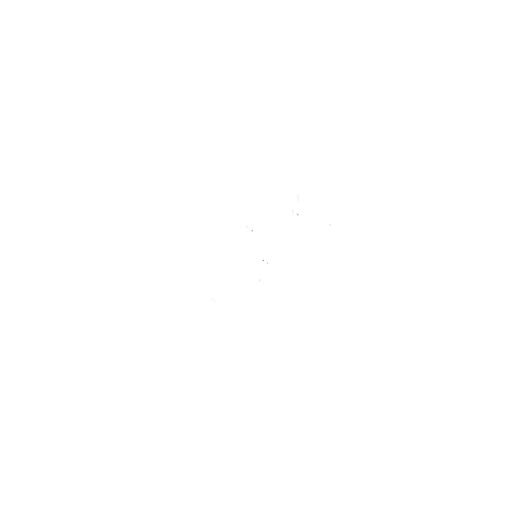 CN(C)CCn1c2ccc(Cl)cc2c2c3ccccc3c(=O)[nH]c21